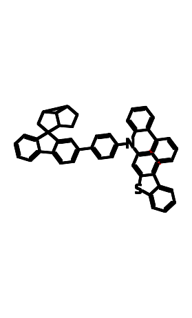 c1ccc(-c2ccccc2N(c2ccc(-c3ccc4c(c3)C3(CC5C6CCC3C65)c3ccccc3-4)cc2)c2ccc3c(c2)sc2ccccc23)cc1